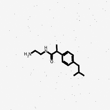 CC(C)Cc1ccc(C(C)C(=O)NCCN)cc1